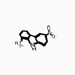 Cc1cccc2c1[nH]c1ccc([N+](=O)[O-])cc12